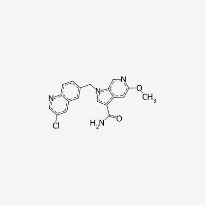 COc1cc2c(C(N)=O)cn(Cc3ccc4ncc(Cl)cc4c3)c2cn1